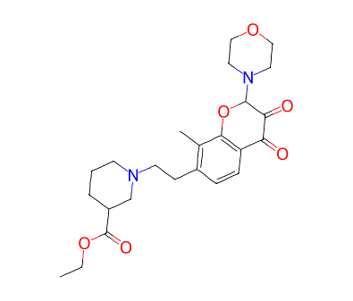 CCOC(=O)C1CCCN(CCc2ccc3c(c2C)OC(N2CCOCC2)C(=O)C3=O)C1